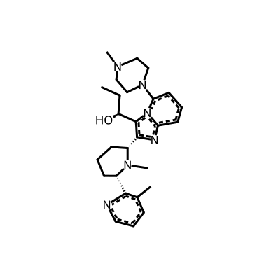 CC[C@H](O)c1c([C@H]2CCC[C@@H](c3ncccc3C)N2C)nc2cccc(N3CCN(C)CC3)n12